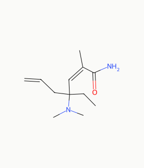 C=CCC(C=C(C)C(N)=O)(CC)N(C)C